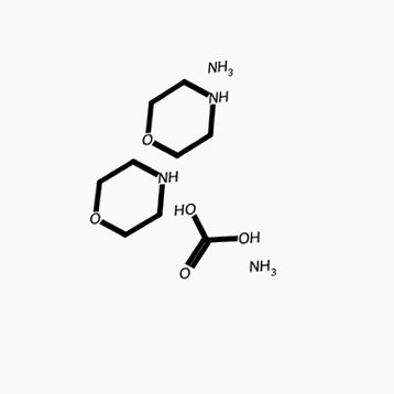 C1COCCN1.C1COCCN1.N.N.O=C(O)O